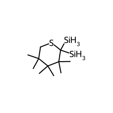 CC1(C)CSC([SiH3])([SiH3])C(C)(C)C1(C)C